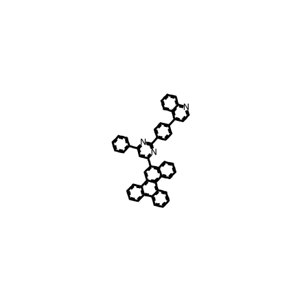 c1ccc(-c2cc(-c3cc4c5ccccc5c5ccccc5c4c4ccccc34)nc(-c3ccc(-c4ccnc5ccccc45)cc3)n2)cc1